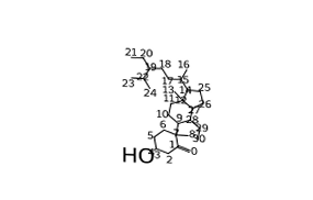 C=C1CC(O)CCC1(C)C1CCC2(C)C(C(C)CCC(CC)C(C)C)CCC2C1CC